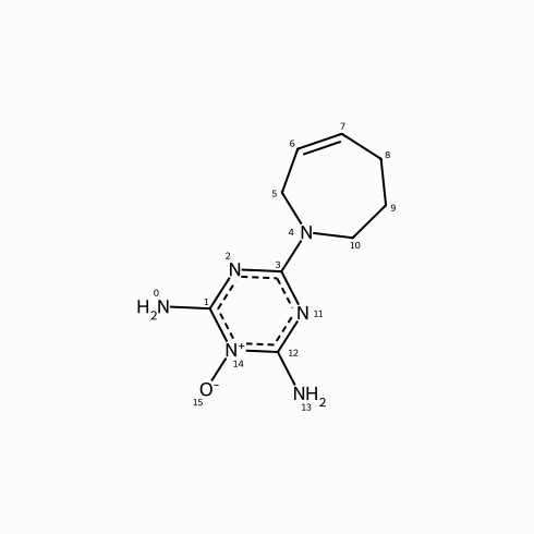 Nc1nc(N2CC=CCCC2)nc(N)[n+]1[O-]